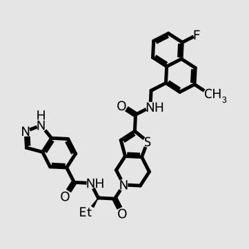 CC[C@@H](NC(=O)c1ccc2[nH]ncc2c1)C(=O)N1CCc2sc(C(=O)NCc3cc(C)cc4c(F)cccc34)cc2C1